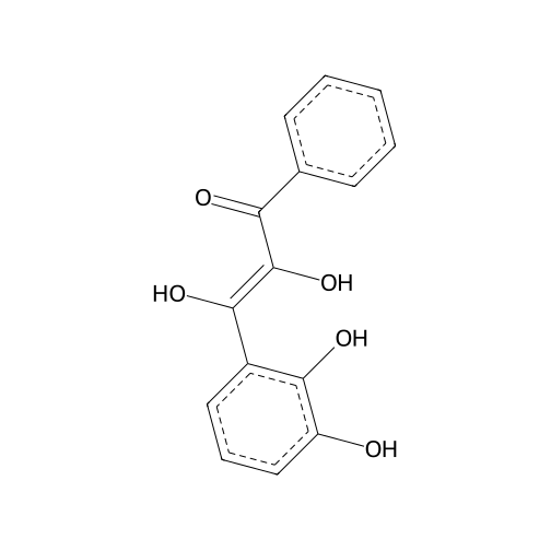 O=C(C(O)=C(O)c1cccc(O)c1O)c1ccccc1